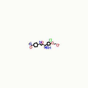 COCCOc1cc2[nH]nc(-c3cc(-c4ccc(C(=O)N(C)C)cc4)no3)c2cc1Cl